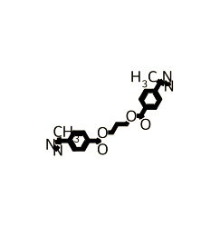 CC1(c2ccc(C(=O)OCCCOC(=O)c3ccc(C4(C)N=N4)cc3)cc2)N=N1